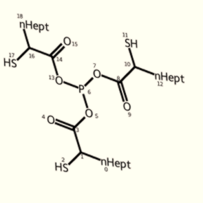 CCCCCCCC(S)C(=O)OP(OC(=O)C(S)CCCCCCC)OC(=O)C(S)CCCCCCC